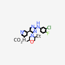 CCC1COC(C)CN1c1nc(Nc2ccc(F)c(Cl)c2)ncc1-c1cncc(C(=O)O)c1